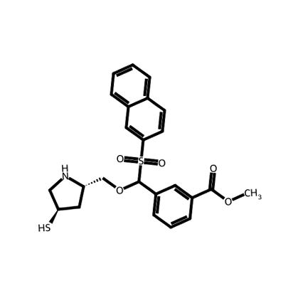 COC(=O)c1cccc(C(OC[C@@H]2C[C@@H](S)CN2)S(=O)(=O)c2ccc3ccccc3c2)c1